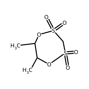 CC1OS(=O)(=O)CS(=O)(=O)OC1C